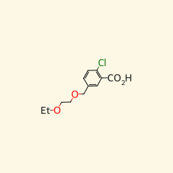 CCOCCOCc1ccc(Cl)c(C(=O)O)c1